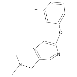 Cc1cccc(Oc2cnc(CN(C)C)cn2)c1